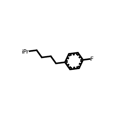 CC(C)CCCCc1ccc(F)cc1